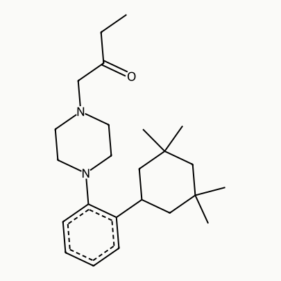 CCC(=O)CN1CCN(c2ccccc2C2CC(C)(C)CC(C)(C)C2)CC1